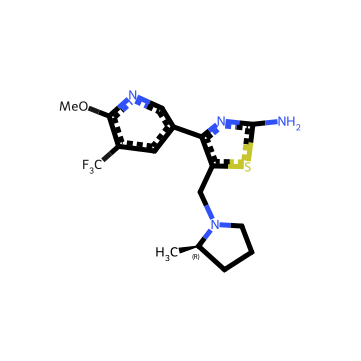 COc1ncc(-c2nc(N)sc2CN2CCC[C@H]2C)cc1C(F)(F)F